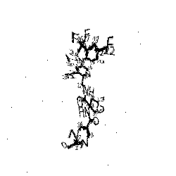 Cc1ncc(C(=O)N[C@@]2(C(=O)NCc3ncc(Nc4ccc(F)cc4C(F)(F)I)cc3C)CCOC2)cn1